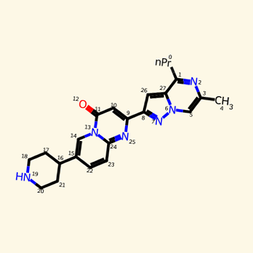 CCCc1nc(C)cn2nc(-c3cc(=O)n4cc(C5CCNCC5)ccc4n3)cc12